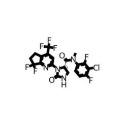 CN(C(=O)[C@@H]1CNC(=O)N1c1cc(C(F)(F)F)c2c(n1)C(F)(F)CC2)c1ccc(F)c(Cl)c1F